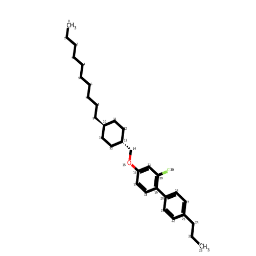 CCCCCCCCCC[C@H]1CC[C@H](COc2ccc(-c3ccc(CCC)cc3)c(F)c2)CC1